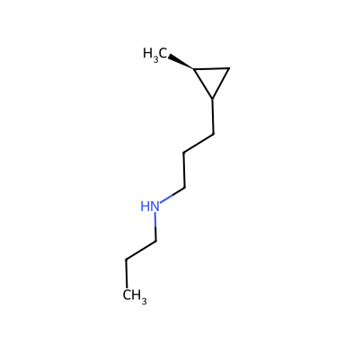 CCCNCCCC1C[C@@H]1C